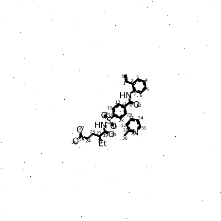 C=Cc1ccccc1NC(=O)c1ccc(S(=O)(=O)NC(=O)C(CC)CCC([O])=O)cc1.Cc1ccccn1